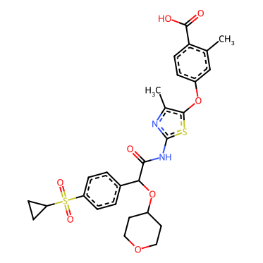 Cc1cc(Oc2sc(NC(=O)C(OC3CCOCC3)c3ccc(S(=O)(=O)C4CC4)cc3)nc2C)ccc1C(=O)O